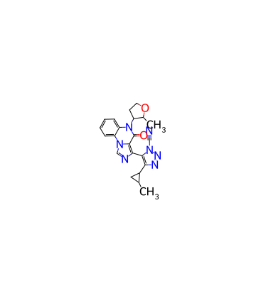 CC1CC1c1nnn(C#N)c1-c1ncn2c1c(=O)n(C1CCOC1C)c1ccccc12